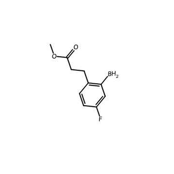 Bc1cc(F)ccc1CCC(=O)OC